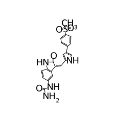 CS(=O)(=O)c1ccc(-c2c[nH]c(C=C3C(=O)Nc4ccc(NC(N)=O)cc43)c2)cc1